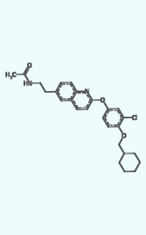 CC(=O)NCCc1ccc2nc(Oc3ccc(OCC4CCCCC4)c(Cl)c3)ccc2c1